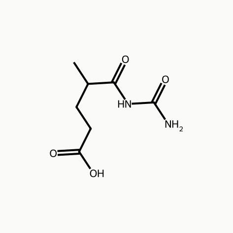 CC(CCC(=O)O)C(=O)NC(N)=O